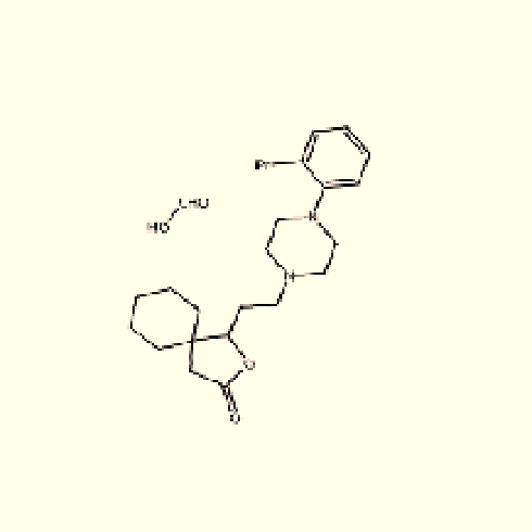 CC(C)c1ccccc1N1CCN(CCC2OC(=O)CC23CCCCC3)CC1.O=CO